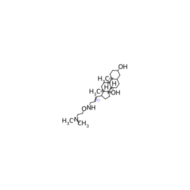 CN(C)CCONC/C=C/C1CC[C@@]2(O)[C@@H]3CCC4CC(O)CC[C@]4(C)[C@@H]3CC[C@]12C